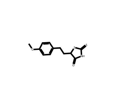 COc1ccc(CCC2SC(=S)NC2=O)cc1